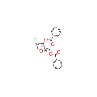 O=C(OC[C@H]1OC[C@H](F)[C@H]1OC(=O)c1ccccc1)c1ccccc1